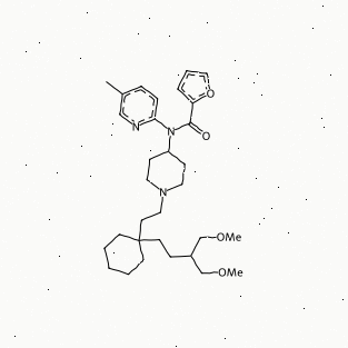 COCC(CCC1(CCN2CCC(N(C(=O)c3ccco3)c3ccc(C)cn3)CC2)CCCCC1)COC